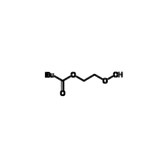 CCC(C)C(=O)OCCOO